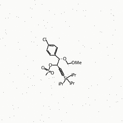 COCO[C@@H](c1ccc(Cl)cc1)[C@@H](C#C[Si](C(C)C)(C(C)C)C(C)C)OS(C)(=O)=O